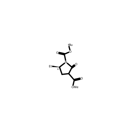 CC[C@@H]1CC(C(=O)OC)C(=O)N1C(=O)OC(C)(C)C